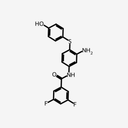 Nc1cc(NC(=O)c2cc(F)cc(F)c2)ccc1Sc1ccc(O)cc1